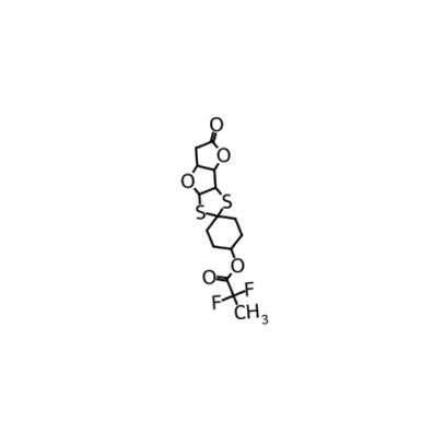 CC(F)(F)C(=O)OC1CCC2(CC1)SC1OC3CC(=O)OC3C1S2